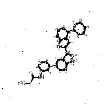 CC(C)(C)CC(=O)Nc1cncc(-c2cnc3[nH]nc(-c4cc5c(-c6ccccn6)cccc5[nH]4)c3c2)c1